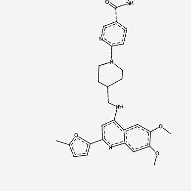 COc1cc2nc(-c3ccc(C)o3)cc(NCC3CCN(c4ccc(C(=O)NO)cn4)CC3)c2cc1OC